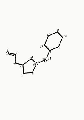 O=CCC1CCN(NC2CCCCC2)C1